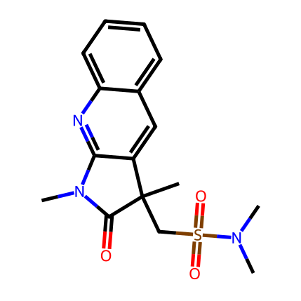 CN1C(=O)C(C)(CS(=O)(=O)N(C)C)c2cc3ccccc3nc21